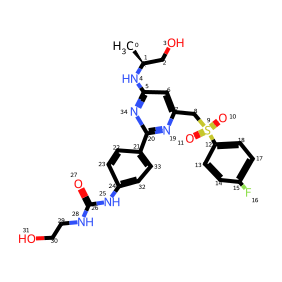 C[C@@H](CO)Nc1cc(CS(=O)(=O)c2ccc(F)cc2)nc(-c2ccc(NC(=O)NCCO)cc2)n1